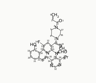 C=CC(=O)N1CCN(/C(=N/C)c2cc(F)c(-c3c(O)cccc3F)nc2N(C=O)c2c(C(C)C)ncnc2C(C)C)CC1